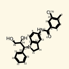 Cc1ccc(C(=O)Nc2ccc3c(c2)CCN3[C@@H](c2ccccc2)[C@H](O)CO)cc1Cl